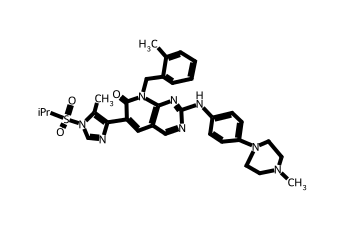 Cc1ccccc1Cn1c(=O)c(-c2ncn(S(=O)(=O)C(C)C)c2C)cc2cnc(Nc3ccc(N4CCN(C)CC4)cc3)nc21